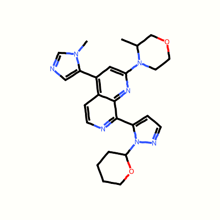 CC1COCCN1c1cc(-c2cncn2C)c2ccnc(-c3ccnn3C3CCCCO3)c2n1